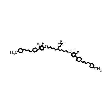 CC1CCC(CC/C=C/C2CC=C(c3ccc(OCCCCCC(/C=C/C(F)(F)F)CCCCCOc4ccc(C5=CCC(/C=C/CCC6CCC(C)CC6)CC5)c(F)c4F)c(F)c3F)CC2)CC1